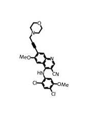 COc1cc(Nc2c(C#N)cnc3cc(C#CCN4CCOCC4)c(OC)cc23)c(Cl)cc1Cl